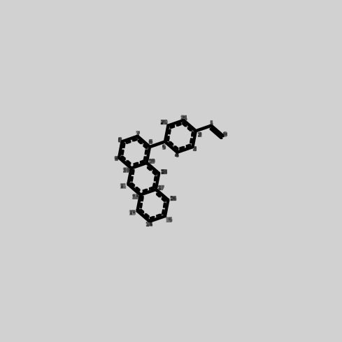 C=Cc1ccc(-c2cccc3cc4ccccc4cc23)cc1